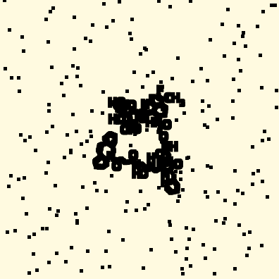 CC[C@@](O)(C(=O)O)c1cc2n(c(=O)c1CO)Cc1c-2nc2cc(F)c(C)c3c2c1[C@@H](NC(=O)COCNC(=O)CNC(=O)[C@H](Cc1ccccc1)NC(=O)CNC(=O)CNC(=O)CCC(=O)N1Cc2ccccc2C#Cc2ccccc21)CC3